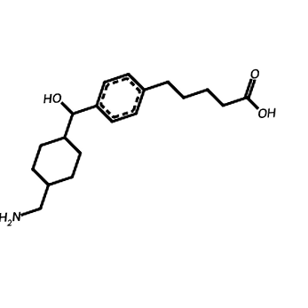 NCC1CCC(C(O)c2ccc(CCCCC(=O)O)cc2)CC1